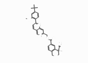 COc1cc(C(C)(C)C)ccc1-c1ccc2cnc(CNC(=O)c3ccc4c(c3)[C@](C)(C#N)COC4)cc2n1